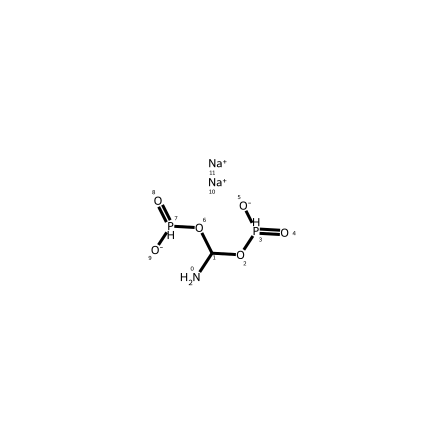 NC(O[PH](=O)[O-])O[PH](=O)[O-].[Na+].[Na+]